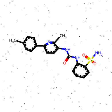 Cc1ccc(-c2ccc(NC(=O)Nc3ccccc3S(N)(=O)=O)c(C)n2)cc1